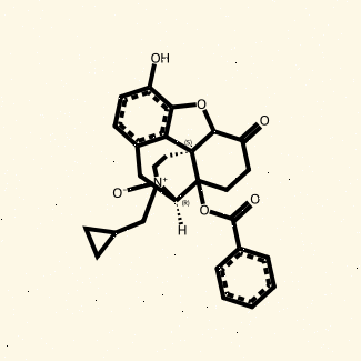 O=C(OC12CCC(=O)C3Oc4c(O)ccc5c4[C@@]31CC[N+]([O-])(CC1CC1)[C@@H]2C5)c1ccccc1